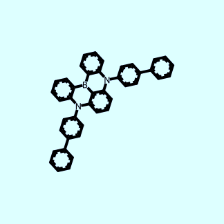 c1ccc(-c2ccc(N3c4ccccc4B4c5ccccc5N(c5ccc(-c6ccccc6)cc5)c5cccc3c54)cc2)cc1